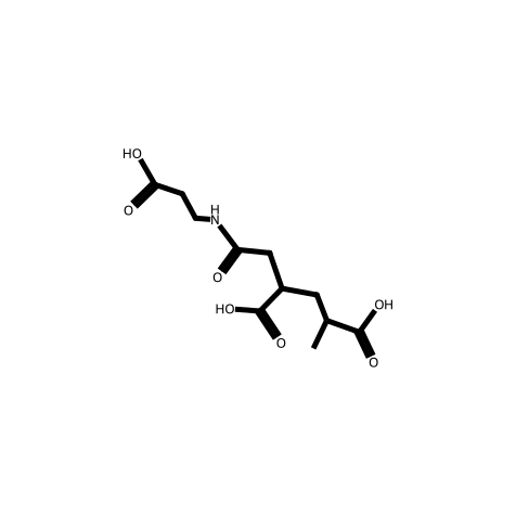 CC(CC(CC(=O)NCCC(=O)O)C(=O)O)C(=O)O